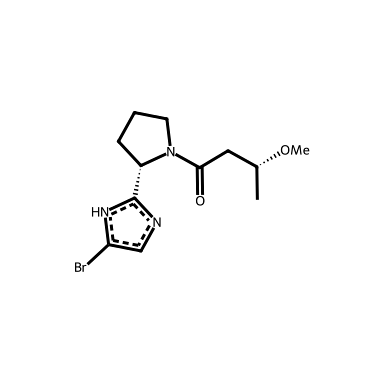 CO[C@H](C)CC(=O)N1CCC[C@H]1c1ncc(Br)[nH]1